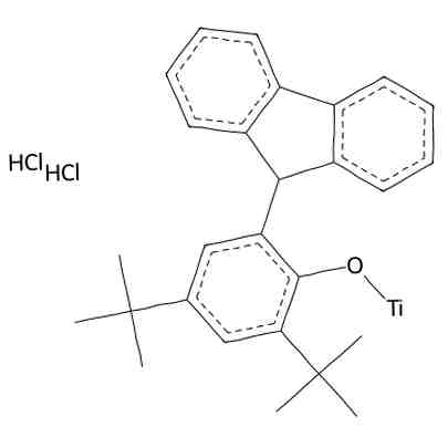 CC(C)(C)c1cc(C2c3ccccc3-c3ccccc32)c([O][Ti])c(C(C)(C)C)c1.Cl.Cl